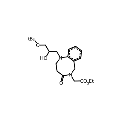 CCOC(=O)CN1Cc2ccccc2N(CC(O)COC(C)(C)C)CCC1=O